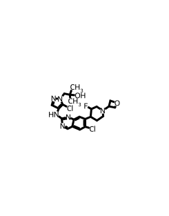 CC(C)(O)Cn1ncc(Nc2ncc3cc(Cl)c(C4CCN(C5COC5)CC4F)cc3n2)c1Cl